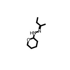 CC/C(C)=N\NC1CCCCO1